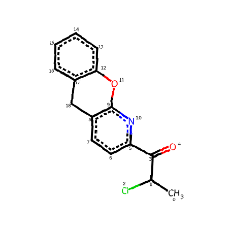 CC(Cl)C(=O)c1ccc2c(n1)Oc1ccccc1C2